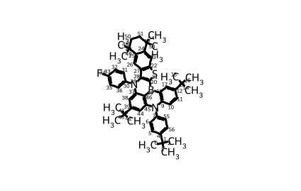 CC(C)(C)c1ccc(N2c3ccc(C(C)(C)C)cc3B3c4sc5cc6c(cc5c4N(c4ccc(F)cc4)c4cc(C(C)(C)C)cc2c43)C(C)(C)CCC6(C)C)cc1